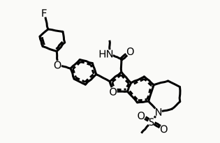 CNC(=O)c1c(-c2ccc(OC3=CCC(F)C=C3)cc2)oc2cc3c(cc12)CCCCN3S(C)(=O)=O